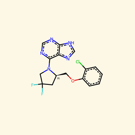 FC1(F)C[C@H](COc2ccccc2Cl)N(c2ncnc3[nH]cnc23)C1